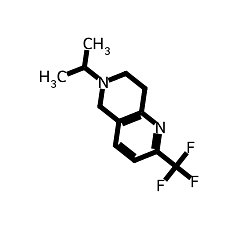 CC(C)N1CCc2nc(C(F)(F)F)ccc2C1